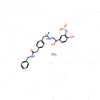 C.C[C@H](Cc1ccc(CC(=O)NCc2ccccc2)cc1)NC[C@H](O)c1ccc(O)c(N=S(=O)=O)c1